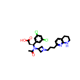 CC(=O)N(C1CN(CCCc2ccc3c(n2)NCCC3)C1)[C@@H](CC(=O)O)c1cc(Cl)cc(Cl)c1